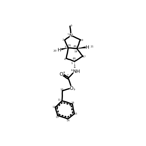 CN1C[C@H]2C[C@@H](NC(=O)OCc3ccccc3)C[C@H]2C1